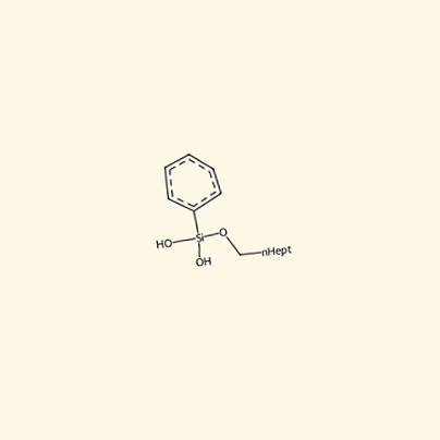 CCCCCCCCO[Si](O)(O)c1ccccc1